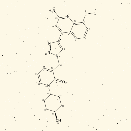 COc1cccc2c(-c3cn(Cc4cccn([C@H]5CC[C@H](O)CC5)c4=O)nn3)nc(N)nc12